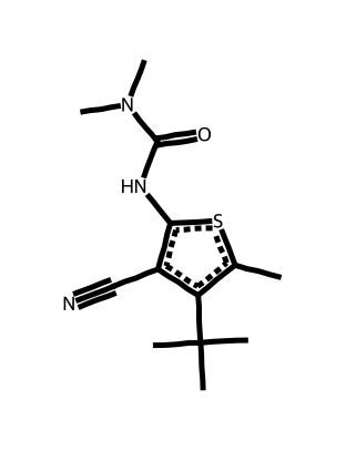 Cc1sc(NC(=O)N(C)C)c(C#N)c1C(C)(C)C